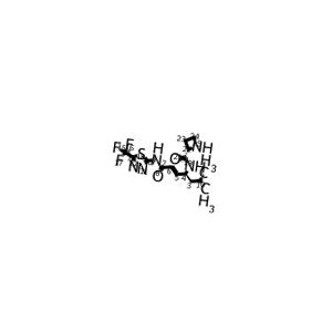 CC(C)C[C@@H](/C=C/C(=O)Nc1nnc(C(F)(F)F)s1)NC(=O)[C@@H]1CCN1